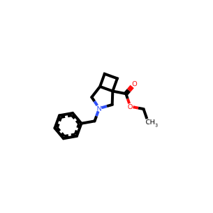 CCOC(=O)C12CCC1CN(Cc1ccccc1)C2